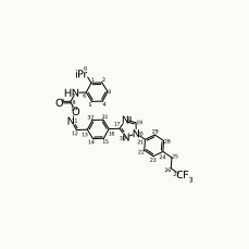 CC(C)c1ccccc1NC(=O)O/N=C\c1ccc(-c2ncn(-c3ccc(CCC(F)(F)F)cc3)n2)cc1